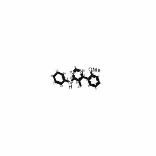 COc1ccccc1-c1ncnc(NC2=CC[CH]C=C2)c1C